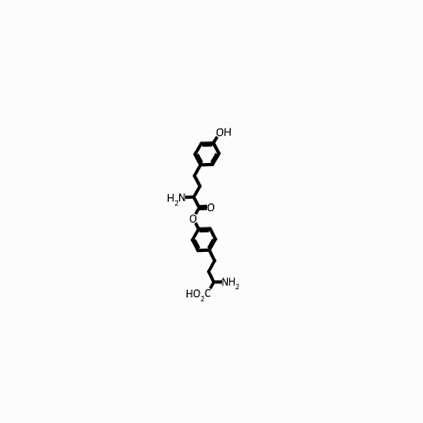 NC(CCc1ccc(OC(=O)C(N)CCc2ccc(O)cc2)cc1)C(=O)O